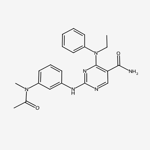 CCN(c1ccccc1)c1nc(Nc2cccc(N(C)C(C)=O)c2)ncc1C(N)=O